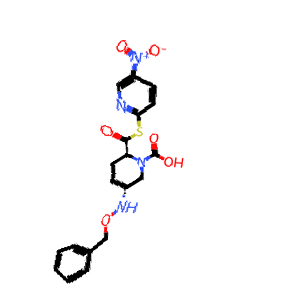 O=C(Sc1ccc([N+](=O)[O-])cn1)[C@@H]1CC[C@@H](NOCc2ccccc2)CN1C(=O)O